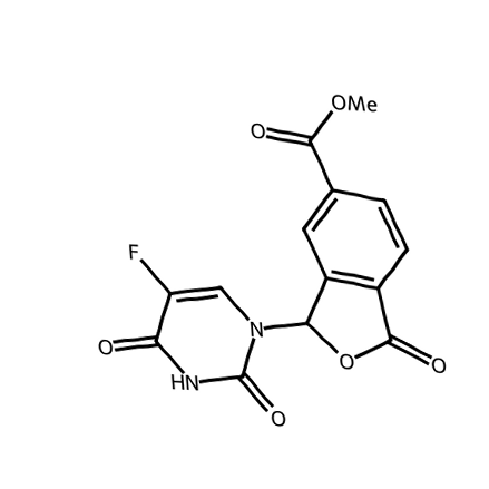 COC(=O)c1ccc2c(c1)C(n1cc(F)c(=O)[nH]c1=O)OC2=O